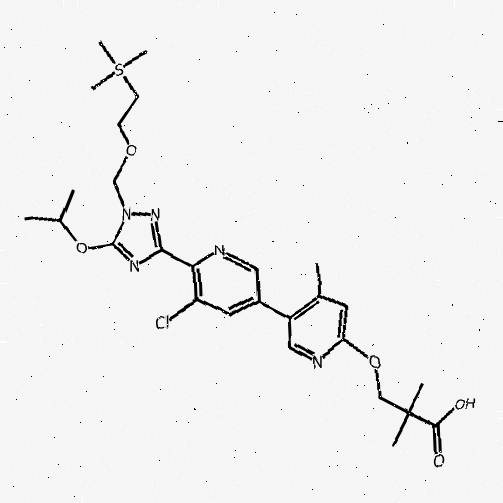 Cc1cc(OCC(C)(C)C(=O)O)ncc1-c1cnc(-c2nc(OC(C)C)n(COCCS(C)(C)C)n2)c(Cl)c1